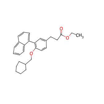 CCOC(=O)CCc1ccc(OCC2CCCCC2)c(-c2cccc3ccccc23)c1